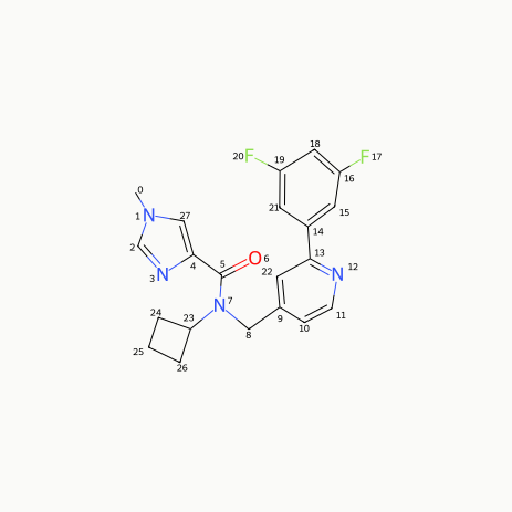 Cn1cnc(C(=O)N(Cc2ccnc(-c3cc(F)cc(F)c3)c2)C2CCC2)c1